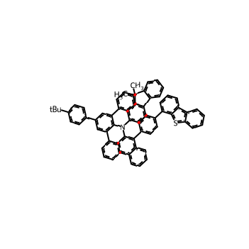 CC(C)(C)c1ccc(-c2cc(-c3ccccc3)c(N(c3ccc4c(c3)C(C)(C)c3ccccc3-4)c3ccc4ccccc4c3-c3ccc(-c4cccc5c4sc4ccccc45)cc3)c(-c3ccccc3)c2)cc1